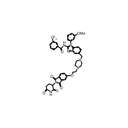 COc1cccc(-n2c(NC(=O)c3cccc(C(F)(F)F)c3)nc3cc(CN4CCN(CCOc5ccc6c(c5)C(=O)N(C5CCC(=O)NC5=O)C6=O)CC4)ccc32)c1